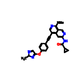 CNc1ncc(C#Cc2ccc(OC3=NC(C)N=C3)cc2)c2cc(NC(=O)C3CC3)ncc12